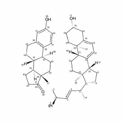 CC(C)[C@@H](C)/C=C/[C@@H](C)[C@H]1CC[C@H]2C3=CC=C4C[C@@H](O)CC[C@]4(C)[C@H]3CC[C@]12C.C[C@]12CC[C@@H]3c4ccc(O)cc4CC[C@H]3[C@@H]1CCC2=O